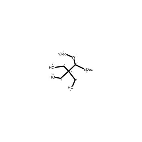 CCCCCCCCCCOC(CCCCCCCCCC)C(CO)(CO)CO